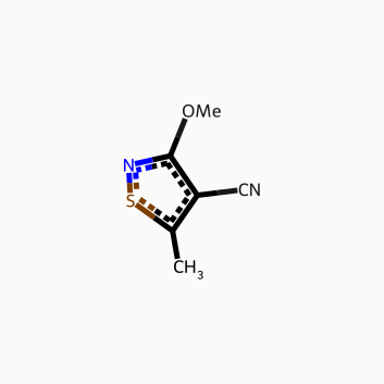 COc1nsc(C)c1C#N